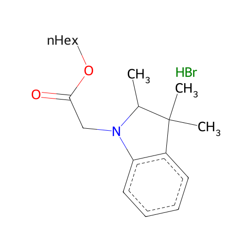 Br.CCCCCCOC(=O)CN1c2ccccc2C(C)(C)C1C